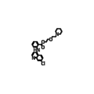 O=C(OCCOCCN1CCCCC1)c1ccccc1Nc1ccnc2cc(Cl)ccc12